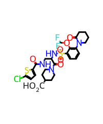 O=C(NCC(NS(=O)(=O)c1cccc(N2CCCCC2=O)c1OC(F)F)C(=O)N1CCC(C(=O)O)CC1)c1ccc(Cl)s1